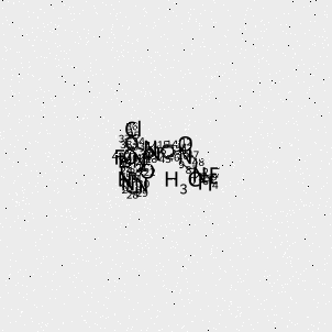 CN(CC(F)(F)F)C1CCN(C(=O)c2ccc(-n3cc(NC(=O)c4cnn5cccnc45)c(-c4cc(Cl)ccc4OC(F)F)n3)cc2)CC1